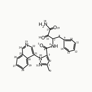 Cc1cc(C(=O)NC(Cc2ccccc2)C(=O)C(N)=O)n(-c2cncc3ccccc23)n1